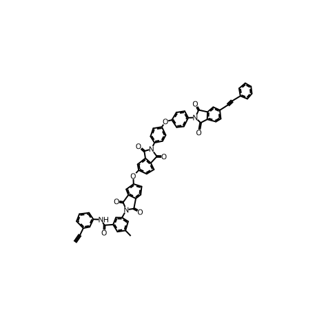 C#Cc1cccc(NC(=O)c2cc(C)cc(N3C(=O)c4ccc(Oc5ccc6c(c5)C(=O)N(c5ccc(Oc7ccc(N8C(=O)c9ccc(C#Cc%10ccccc%10)cc9C8=O)cc7)cc5)C6=O)cc4C3=O)c2)c1